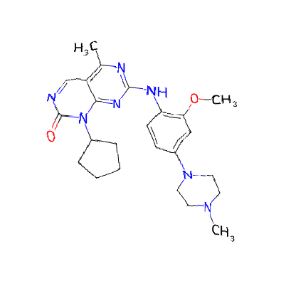 COc1cc(N2CCN(C)CC2)ccc1Nc1nc(C)c2cnc(=O)n(C3CCCC3)c2n1